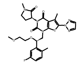 COCCO[C@@H](Cn1c(=O)n([C@H]2CCN(C)C2=O)c(=O)c2c(C)c(-n3nccn3)sc21)c1cc(F)ccc1C